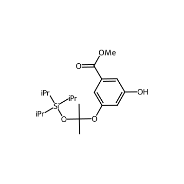 COC(=O)c1cc(O)cc(OC(C)(C)O[Si](C(C)C)(C(C)C)C(C)C)c1